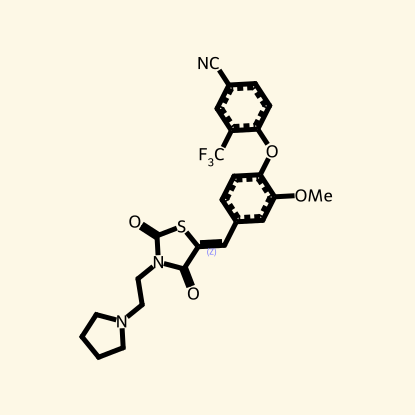 COc1cc(/C=C2\SC(=O)N(CCN3CCCC3)C2=O)ccc1Oc1ccc(C#N)cc1C(F)(F)F